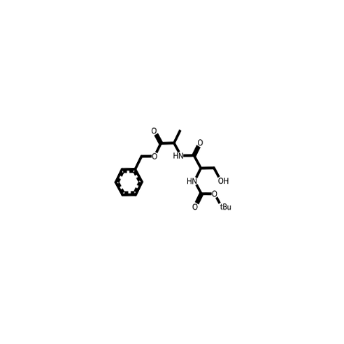 CC(NC(=O)C(CO)NC(=O)OC(C)(C)C)C(=O)OCc1ccccc1